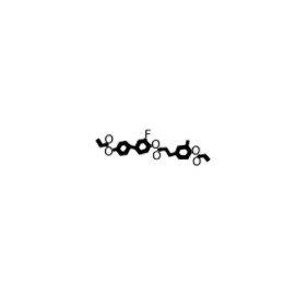 C=CC(=O)Oc1ccc(-c2ccc(OC(=O)CCc3ccc(OC(=O)C=C)c(C)c3)c(F)c2)cc1